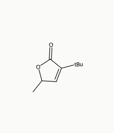 CC1C=C(C(C)(C)C)C(=O)O1